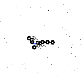 CC1(C)c2ccccc2-c2ccc(N(c3ccccc3)c3ccc4c(c3)C(C)(C)c3cc(-c5ccc(-c6ccccc6)cc5)ccc3-4)cc21